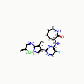 C=C(Cl)/C=N\c1[nH]cc(-c2ncc(F)c(N[C@H]3CCCCNC3=O)n2)c1C